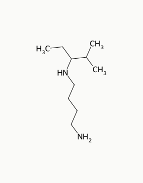 CCC(NCCCCN)C(C)C